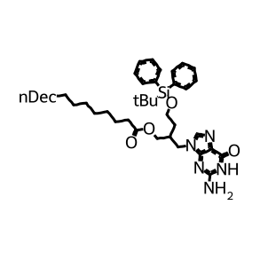 CCCCCCCCCCCCCCCCCC(=O)OCC(CCO[Si](c1ccccc1)(c1ccccc1)C(C)(C)C)Cn1cnc2c(=O)[nH]c(N)nc21